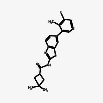 Cc1c(F)cncc1-c1ccc2nc(NC(=O)C3CC(C)(P)C3)sc2c1